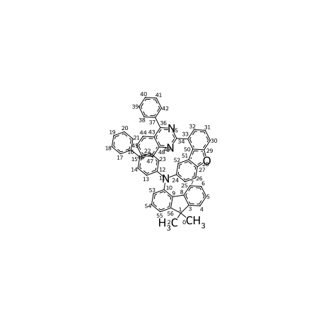 CC1(C)c2ccccc2-c2c(N(c3ccc(-c4ccccc4)cc3)c3ccc4oc5cccc(-c6nc(-c7ccccc7)c7ccccc7n6)c5c4c3)cccc21